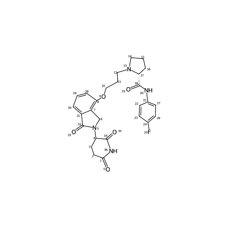 O=C1CCC(N2Cc3c(OCCCN4CCC[C@@H]4C(=O)Nc4ccc(F)cc4)cccc3C2=O)C(=O)N1